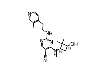 Cc1cnccc1CCNc1ncc(C#N)c(N[C@@H]2C[C@H](O)C2(C)C)n1